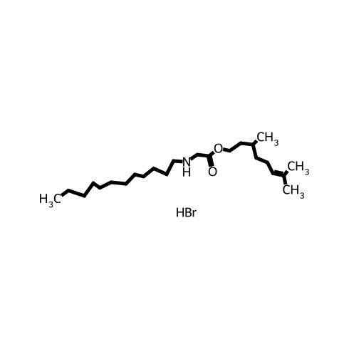 Br.CCCCCCCCCCCCNCC(=O)OCCC(C)CCC=C(C)C